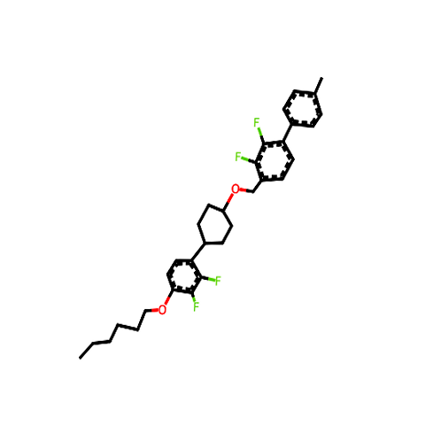 CCCCCCOc1ccc(C2CCC(OCc3ccc(-c4ccc(C)cc4)c(F)c3F)CC2)c(F)c1F